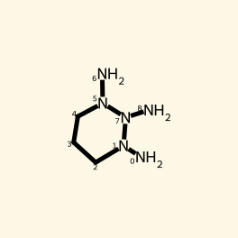 NN1CCCN(N)N1N